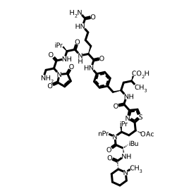 CCCN(C(=O)[C@@H](NC(=O)[C@H]1CCCCN1C)[C@@H](C)CC)[C@H](C[C@@H](OC(C)=O)c1nc(C(=O)N[C@@H](Cc2ccc(NC(=O)[C@H](CCCNC(N)=O)NC(=O)[C@@H](NC(=O)C(CN)N3C(=O)C=CC3=O)C(C)C)cc2)C[C@H](C)C(=O)O)cs1)C(C)C